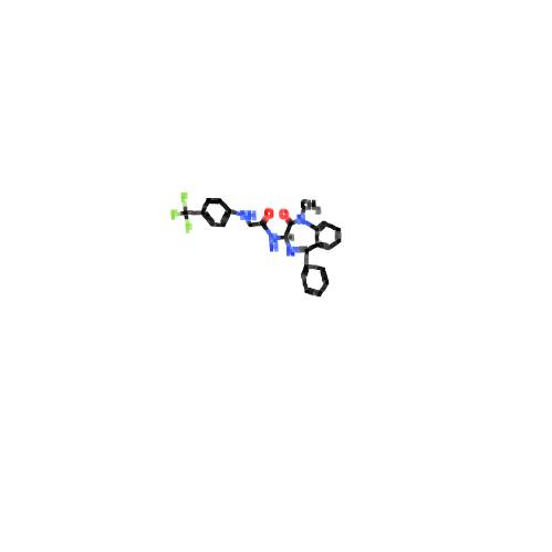 CN1C(=O)[C@H](NC(=O)CNc2ccc(C(F)(F)F)cc2)N=C(c2ccccc2)c2ccccc21